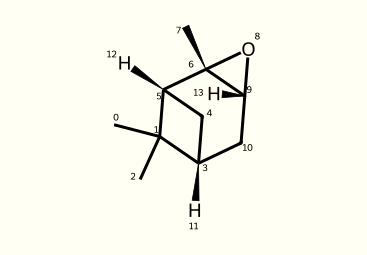 CC1(C)[C@@H]2C[C@H]1[C@]1(C)O[C@@H]1C2